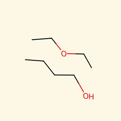 CCCCO.CCOCC